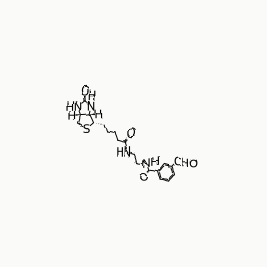 O=Cc1cccc(C(=O)NCCNC(=O)CCCC[C@@H]2SC[C@@H]3NC(=O)N[C@@H]32)c1